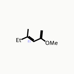 C=C(/C=C(\C)CC)OC